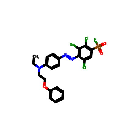 CCN(CCOc1ccccc1)c1ccc(N=Nc2c(Cl)cc(S(=O)(=O)F)c(Cl)c2Br)cc1